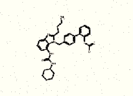 CCCCc1nc2cccc(NC(=O)NC3CCCCC3)c2n1Cc1ccc(-c2ccccc2OC(=O)O)cc1